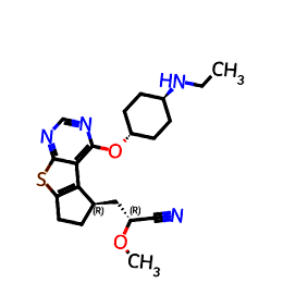 CCN[C@H]1CC[C@H](Oc2ncnc3sc4c(c23)[C@@H](C[C@H](C#N)OC)CC4)CC1